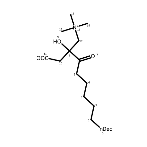 CCCCCCCCCCCCCCCC(=O)C(O)(CC(=O)[O-])C[N+](C)(C)C